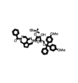 COc1ccc(C(OC[C@H]2O[C@@H](N3C=C4CCC5=C4C(=N3)C=NN(C(=O)c3ccccc3)C5)[C@H](O[Si](C)(C)C(C)(C)C)[C@@H]2O)(c2ccccc2)c2ccc(OC)cc2)cc1